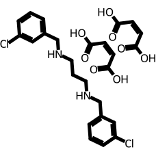 Clc1cccc(CNCCCNCc2cccc(Cl)c2)c1.O=C(O)/C=C\C(=O)O.O=C(O)/C=C\C(=O)O